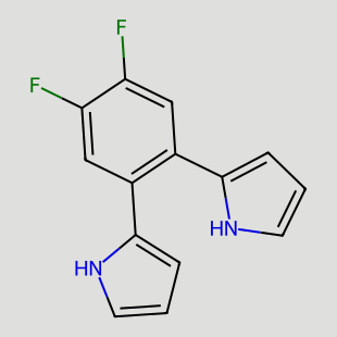 Fc1cc(-c2ccc[nH]2)c(-c2ccc[nH]2)cc1F